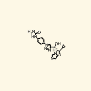 NC(=O)Nc1ccc(-n2cc(C(O)[SH]3C(C4CC4)=Nc4cncn43)nn2)cc1